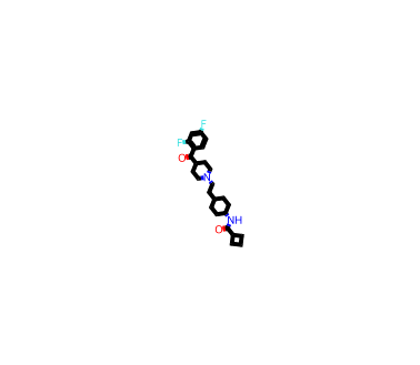 O=C(NC1CCC(CCN2CCC(C(=O)c3ccc(F)cc3F)CC2)CC1)C1CCC1